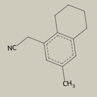 Cc1cc(CC#N)c2c(c1)CCCC2